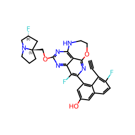 C#Cc1c(F)ccc2cc(O)cc(-c3nc4c5c(nc(OC[C@@]67CCCN6C[C@H](F)C7)nc5c3F)NCCO4)c12